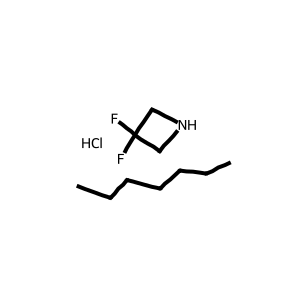 CCCCCCC.Cl.FC1(F)CNC1